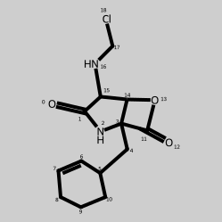 O=C1NC2(CC3C=CCCC3)C(=O)OC2C1NCCl